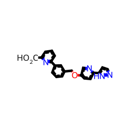 O=C(O)c1cccc(-c2cccc(COc3ccc(-c4ccn[nH]4)nc3)c2)n1